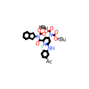 CC(=O)c1ccc(F)c(Nc2cc(N(C(=O)OC(C)(C)C)C(=O)OC(C)(C)C)cc(C(=O)N(C(=O)OC(C)(C)C)C3Cc4ccccc4C3)n2)c1